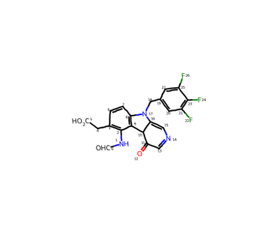 O=CNc1c(CC(=O)O)ccc2c1C1C(=O)C=NC=C1N2Cc1cc(F)c(F)c(F)c1